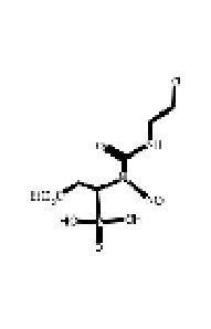 CCOC(=O)CC(N(N=O)C(=O)NCCCl)P(=O)(O)O